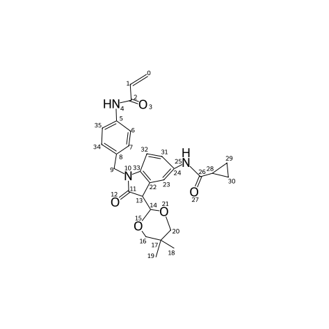 C=CC(=O)Nc1ccc(CN2C(=O)C(C3OCC(C)(C)CO3)c3cc(NC(=O)C4CC4)ccc32)cc1